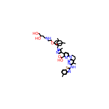 Cc1ccc2sc(Nc3nnc4c(c3C)CCCN4c3ccc(-c4cnn(CC56CC7(C)CC(C)(C5)CC(OCCNCCC(O)CO)(C7)C6)c4C)c(C(=O)O)n3)nc2c1